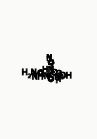 CN(C)c1ccc(CNC(=O)c2cn(Cc3cccc(C(=N)N)c3)c3ccccc23)cc1.O=C(O)C(F)(F)F